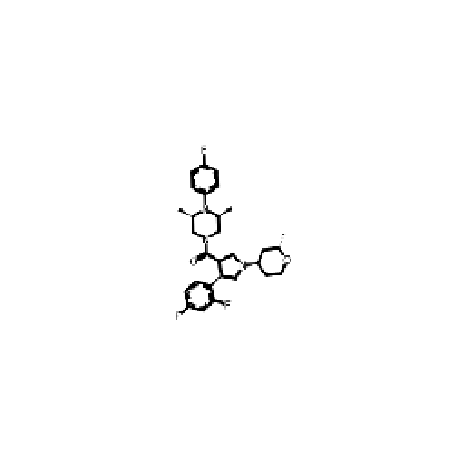 C[C@@H]1CN(C(=O)C2CN([C@@H]3CCO[C@@H](C)C3)C[C@H]2c2ccc(F)cc2F)C[C@H](C)N1c1ccc(F)cc1